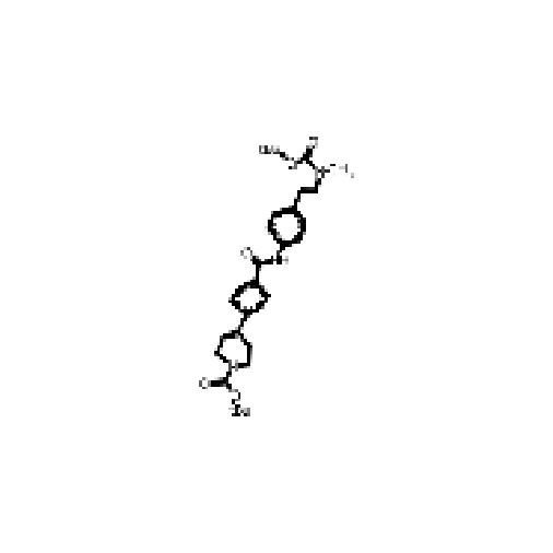 CN(CCc1ccc(NC(=O)c2ccc(C3=CCN(C(=O)OC(C)(C)C)CC3)cc2)cc1)C(=O)OC(C)(C)C